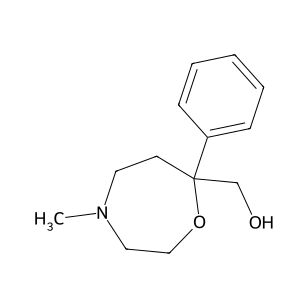 CN1CCOC(CO)(c2ccccc2)CC1